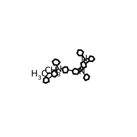 CC1(C)c2ccccc2-c2ccc(N(c3ccccc3)c3ccc(-c4ccc5c(c4)c4cc6c(cc4n5-c4ccccc4)c4ccccc4n6-c4ccccc4)cc3)cc21